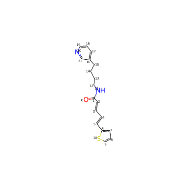 O=C(C=CC=Cc1cccs1)NCCCCc1cccnc1